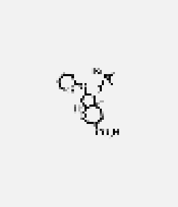 CC(C)(C)[Si](C)(C)OC[C@@H]1[C@H]2CC[C@@H](C(=O)O)CO[C@H]2C[C@H]1OC1CCCCO1